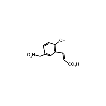 O=C(O)C=Cc1cc(C[N+](=O)[O-])ccc1O